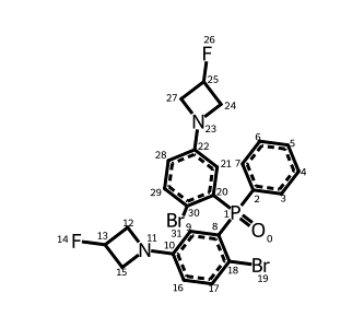 O=P(c1ccccc1)(c1cc(N2CC(F)C2)ccc1Br)c1cc(N2CC(F)C2)ccc1Br